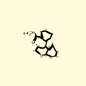 NC(=O)c1ccccc1-c1ccnc2ccccc12